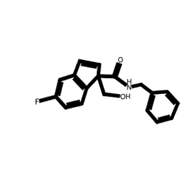 O=C(NCc1ccccc1)C1(CO)C=Cc2cc(F)ccc21